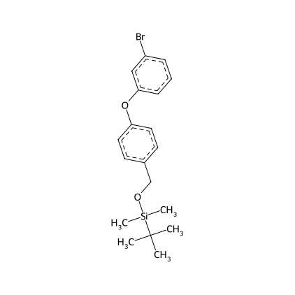 CC(C)(C)[Si](C)(C)OCc1ccc(Oc2cccc(Br)c2)cc1